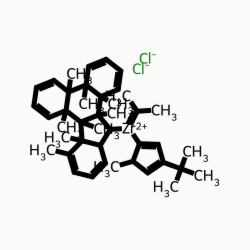 CC1=CC=CC2[CH]([Zr+2]([C]3=CC(C(C)(C)C)=CC3C)=[C](C)C)C3(C)C4(C)C=CC=CC4(C)C4(C)C=CC=CC4(C)C3(C)C12C.[Cl-].[Cl-]